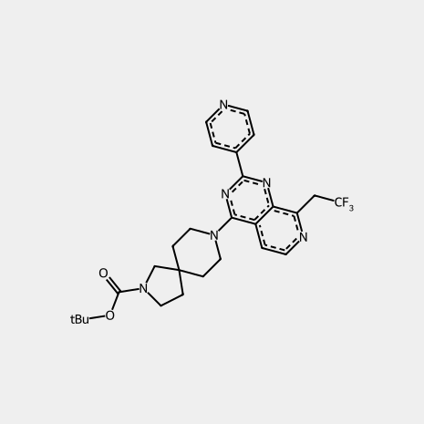 CC(C)(C)OC(=O)N1CCC2(CCN(c3nc(-c4ccncc4)nc4c(CC(F)(F)F)nccc34)CC2)C1